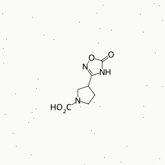 O=C(O)N1CCC(c2noc(=O)[nH]2)C1